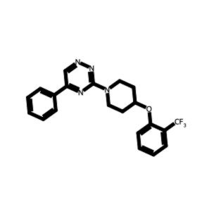 FC(F)(F)c1ccccc1OC1CCN(c2nncc(-c3ccccc3)n2)CC1